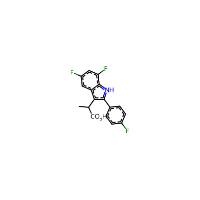 CC(C(=O)O)c1c(-c2ccc(F)cc2)[nH]c2c(F)cc(F)cc12